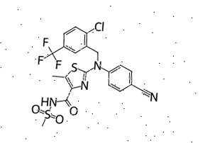 Cc1sc(N(Cc2cc(C(F)(F)F)ccc2Cl)c2ccc(C#N)cc2)nc1C(=O)NS(C)(=O)=O